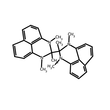 CN1c2cccc3cccc(c23)N(C)C1(C)C1(C)N(C)c2cccc3cccc(c23)N1C